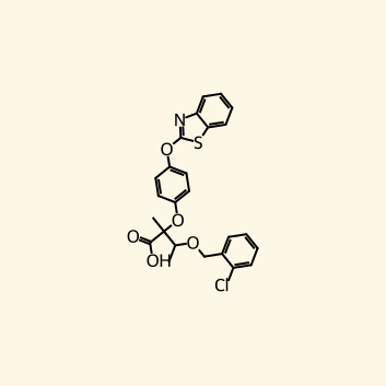 CC(OCc1ccccc1Cl)C(C)(Oc1ccc(Oc2nc3ccccc3s2)cc1)C(=O)O